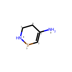 NC1=CSNCC1